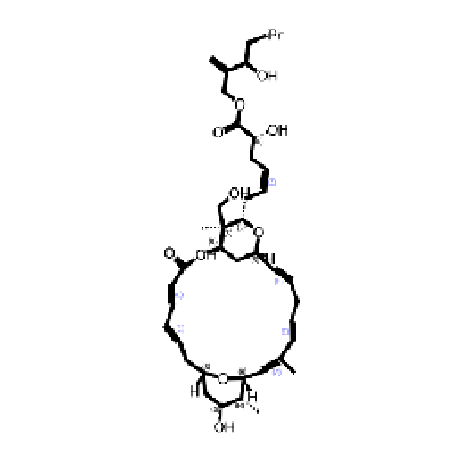 C=C(COC(=O)[C@H](O)C/C=C\C[C@@H]1O[C@@H]2/C=C/C/C=C/C(C)=C\[C@H]3O[C@@H](C/C=C/C=C/C(=O)O[C@H](C2)[C@@]1(C)CO)C[C@H](O)[C@H]3C)C(O)CC(C)C